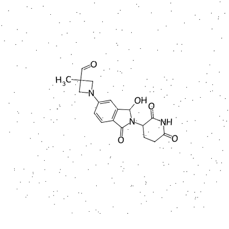 CC1(C=O)CN(c2ccc3c(c2)C(O)N(C2CCC(=O)NC2=O)C3=O)C1